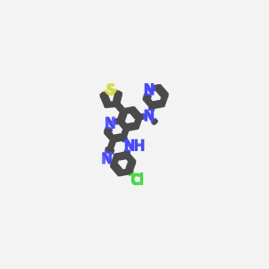 CN(c1cccnc1)c1cc(-c2ccsc2)c2ncc(C#N)c(Nc3cccc(Cl)c3)c2c1